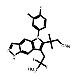 COCC(C)(C)c1c(CC(F)(F)C(=O)O)c2cc3[nH]ncc3cc2n1-c1ccc(F)c(C)c1